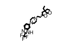 CCC1(CC)C[C@H](CCN2CCN(c3ccc4nc(C(F)(F)F)[nH]c4c3)CC2)OC1=O